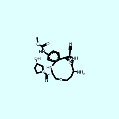 COC(=O)Nc1ccc2c(c1)N[C@@H](C(=O)N1CC[C@H](O)C1)CCCC[C@H](N)c1nc-2c(C#N)[nH]1